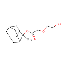 CC1(OC(=O)COCCO)C2CC3CC(C2)CC1C3